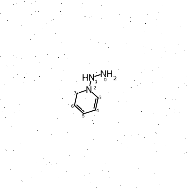 NNN1C=CC=CC1